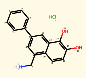 Cl.NCc1cc(-c2ccccc2)cc2c(O)c(O)ccc12